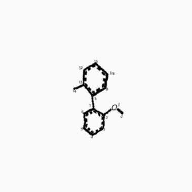 COc1ccc[c]c1-c1ccccc1C